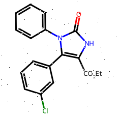 CCOC(=O)c1[nH]c(=O)n(-c2ccccc2)c1-c1cccc(Cl)c1